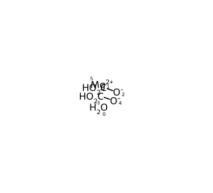 O.O=C([O-])O.O=C([O-])O.[Mg+2]